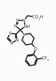 O=C(O)CN1N=NC(c2nncs2)(N2CCC(Oc3ccccc3C(F)(F)F)CC2)N1